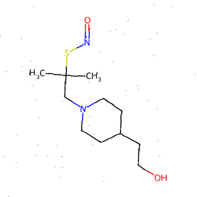 CC(C)(CN1CCC(CCO)CC1)SN=O